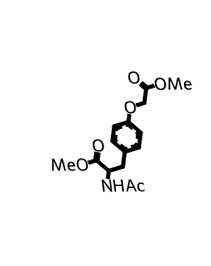 COC(=O)COc1ccc(CC(NC(C)=O)C(=O)OC)cc1